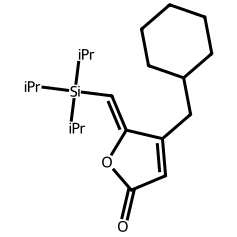 CC(C)[Si](/C=C1\OC(=O)C=C1CC1CCCCC1)(C(C)C)C(C)C